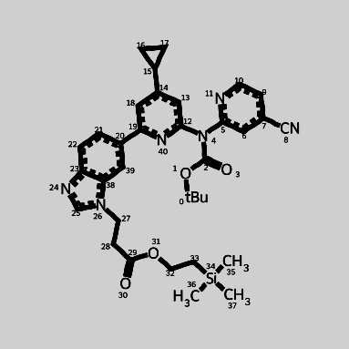 CC(C)(C)OC(=O)N(c1cc(C#N)ccn1)c1cc(C2CC2)cc(-c2ccc3ncn(CCC(=O)OCC[Si](C)(C)C)c3c2)n1